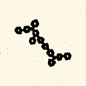 C1=CCCC(C2=C(c3ccc(-c4ccc(-c5ccc(N(c6ccccc6)c6ccc(-c7ccccc7)cc6)cc5)cc4)cc3)C=CC(N(c3ccccc3)c3ccc(-c4ccccc4)cc3)C2)=C1